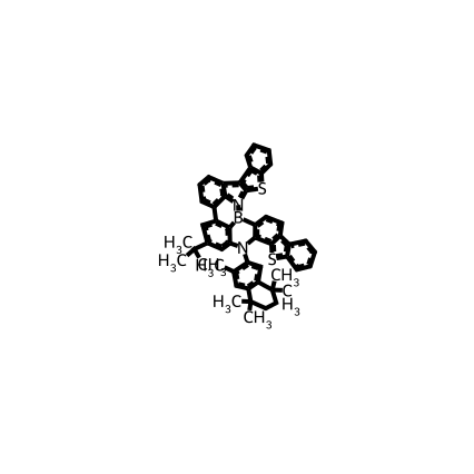 Cc1cc2c(cc1N1c3cc(C(C)(C)C)cc4c3B(c3ccc5c(sc6ccccc65)c31)n1c3sc5ccccc5c3c3cccc-4c31)C(C)(C)CCC2(C)C